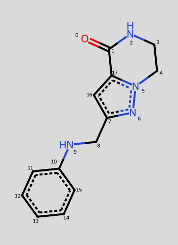 O=C1NCCn2nc(CNc3ccccc3)cc21